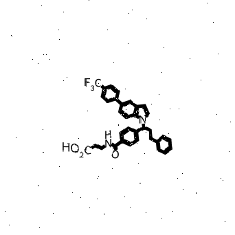 O=C(O)CCNC(=O)c1ccc(C(CCc2ccccc2)n2ccc3cc(-c4ccc(C(F)(F)F)cc4)ccc32)cc1